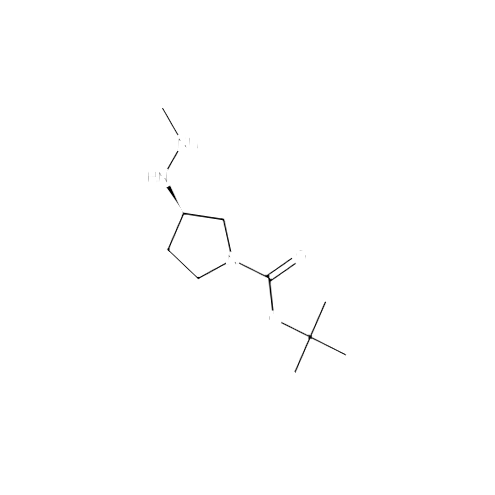 CNN[C@@H]1CCN(C(=O)OC(C)(C)C)C1